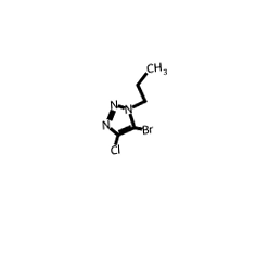 CCCn1nnc(Cl)c1Br